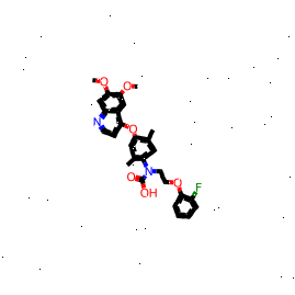 COc1cc2nccc(Oc3cc(C)c(N(CCOc4ccccc4F)C(=O)O)cc3C)c2cc1OC